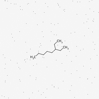 C[CH]CCCC(CC)CC